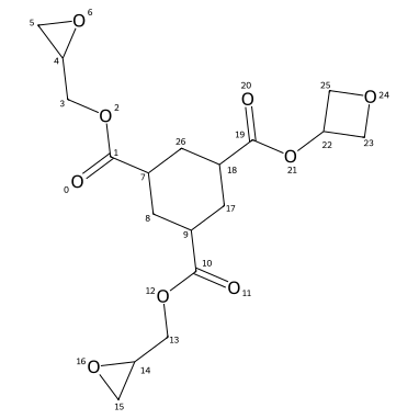 O=C(OCC1CO1)C1CC(C(=O)OCC2CO2)CC(C(=O)OC2COC2)C1